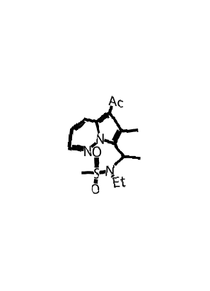 CCN(C(C)c1c(C)c(C(C)=O)c2cccnn12)S(C)(=O)=O